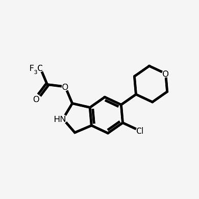 O=C(OC1NCc2cc(Cl)c(C3CCOCC3)cc21)C(F)(F)F